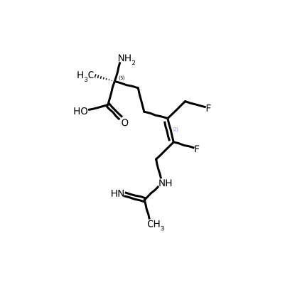 CC(=N)NC/C(F)=C(/CF)CC[C@](C)(N)C(=O)O